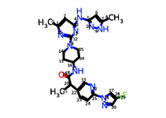 Cc1cc(Nc2cc(C)[nH]n2)nc(N2CCC(NC(=O)C(C)c3ccc(-n4cc(F)cn4)nc3)CC2)n1